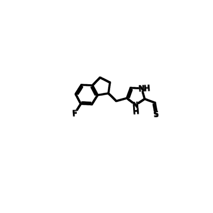 Fc1ccc2c(c1)C(CC1=CNC(C=S)N1)CC2